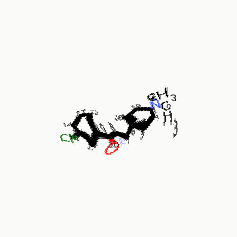 CN(C)c1ccc(/C=C/C(=O)c2cccc(Cl)c2)cc1